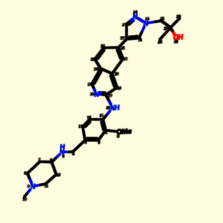 COc1cc(CNC2CCN(C)CC2)ccc1Nc1cc2cc(-c3cnn(CC(C)(C)O)c3)ccc2cn1